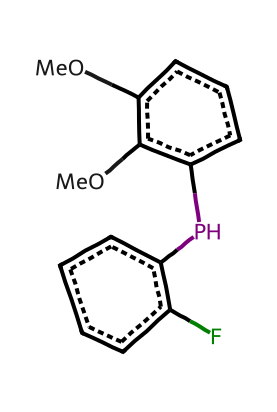 COc1cccc(Pc2ccccc2F)c1OC